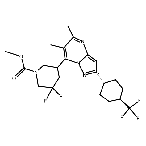 COC(=O)N1CC(c2c(C)c(C)nc3cc([C@H]4CC[C@H](C(F)(F)F)CC4)nn23)CC(F)(F)C1